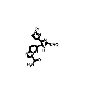 CC(C)n1ccc(-c2nc(C=O)[nH]c2-c2ccc3ncc(C(N)=O)n3n2)n1